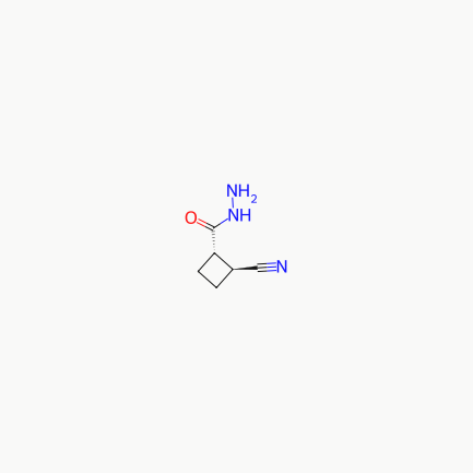 N#C[C@H]1CC[C@@H]1C(=O)NN